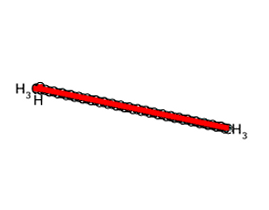 CCNC(=O)OCCOCCOCCOCCOCCOCCOCCOCCOCCOCCOCCOCCOCCOCCOCCOCCOCCOCCOCCOCCOCCOCCOCCOCCOCCOCCOCCOCCOCCOCCOCCOCCOCCOCCOCCOCCOCCOCCOCCOCCOCCOCCOCCOCCOCC